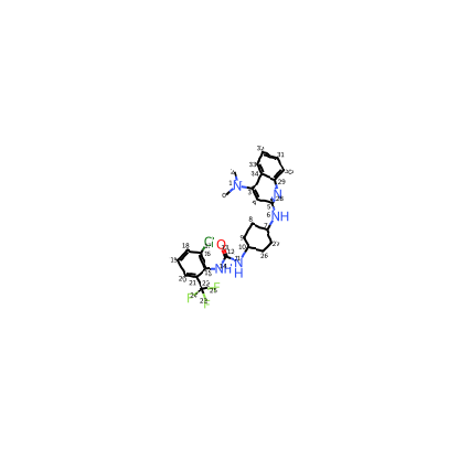 CN(C)c1cc(NC2CCC(NC(=O)Nc3c(Cl)cccc3C(F)(F)F)CC2)nc2ccccc12